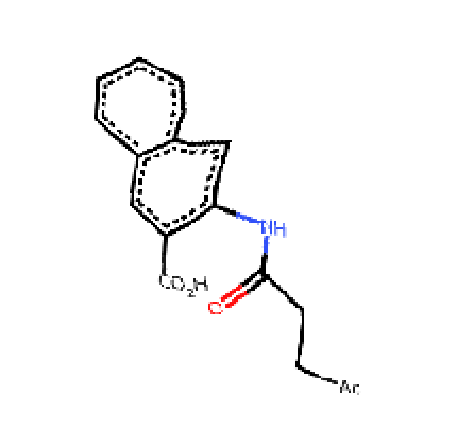 CC(=O)CCC(=O)Nc1cc2ccccc2cc1C(=O)O